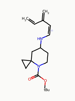 C=CC(=C)/C=C\NC1CCN(C(=O)OC(C)(C)C)C2(CC2)C1